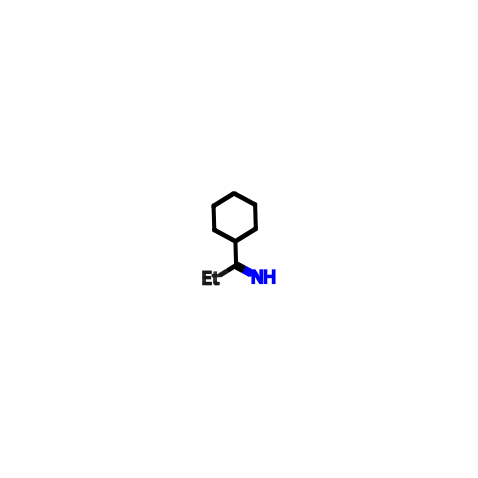 CCC(=N)C1CCCCC1